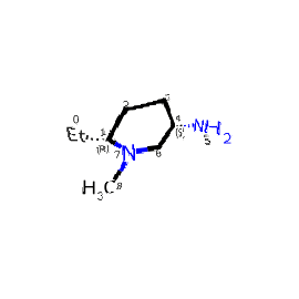 CC[C@@H]1CC[C@H](N)CN1C